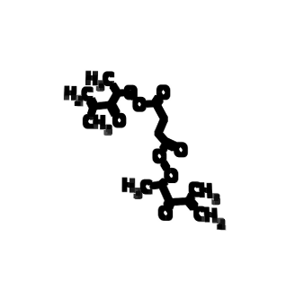 C=C(C)C(=O)C(C)OOC(=O)CCC(=O)OOC(C)C(=O)C(=C)C